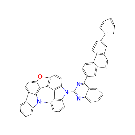 c1ccc(-c2ccc3c(ccc4cc(-c5nc(-n6c7ccc8oc9ccc%10c%11ccccc%11n%11c%12cccc6c%12c7c8c9c%10%11)nc6ccccc56)ccc43)c2)cc1